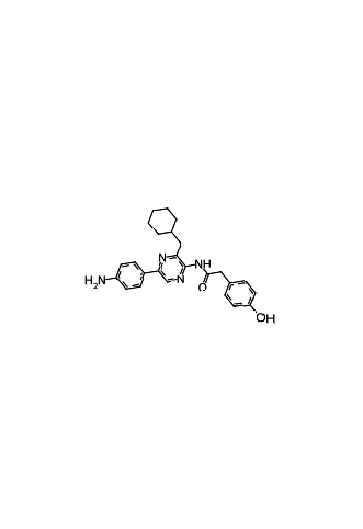 Nc1ccc(-c2cnc(NC(=O)Cc3ccc(O)cc3)c(CC3CCCCC3)n2)cc1